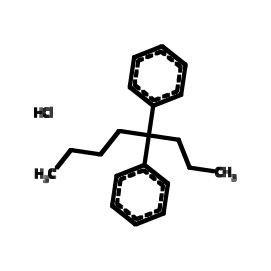 CCCCC(CCC)(c1ccccc1)c1ccccc1.Cl